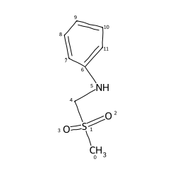 CS(=O)(=O)CNc1[c]cccc1